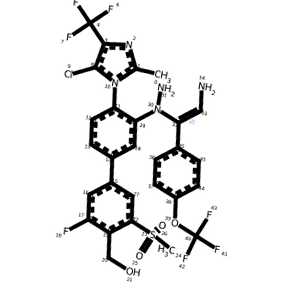 Cc1nc(C(F)(F)F)c(Cl)n1-c1ccc(-c2cc(F)c(CO)c(S(C)(=O)=O)c2)cc1N(N)/C(=C\N)c1ccc(OC(F)(F)F)cc1